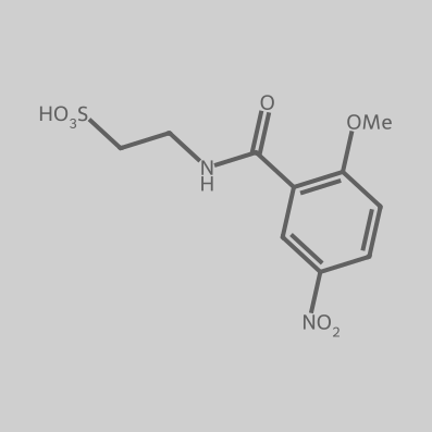 COc1ccc([N+](=O)[O-])cc1C(=O)NCCS(=O)(=O)O